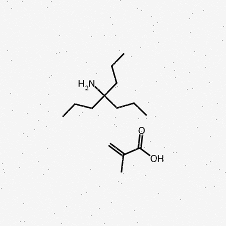 C=C(C)C(=O)O.CCCC(N)(CCC)CCC